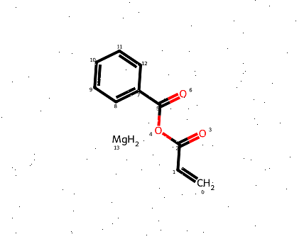 C=CC(=O)OC(=O)c1ccccc1.[MgH2]